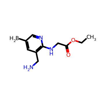 Bc1cnc(NCC(=O)OCC)c(CN)c1